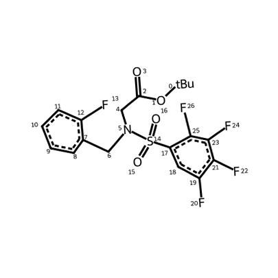 CC(C)(C)OC(=O)CN(Cc1ccccc1F)S(=O)(=O)c1cc(F)c(F)c(F)c1F